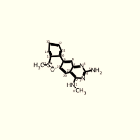 CNc1nc(N)nc2cc(-c3ccccc3[S+](C)[O-])ccc12